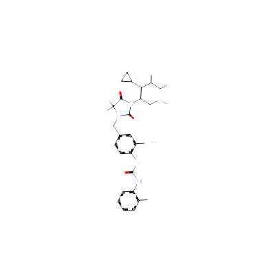 CCNCC(C(C(C)CC(=O)O)C1CC1)N1C(=O)N(Cc2ccc(NC(=O)Nc3ccccc3C)c(OC)c2)C(C)(C)C1=O